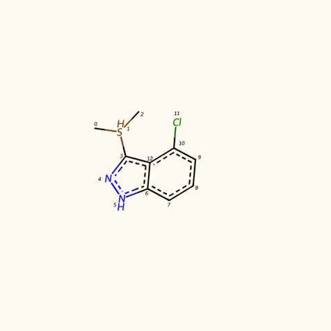 C[SH](C)c1n[nH]c2cccc(Cl)c12